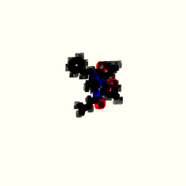 CC(C)CCC(=O)N1C[C@H]2CN(CCc3ccccc3)C(=O)[C@H](CC(C)C)N2C(=O)[C@@H]1CC(C)C